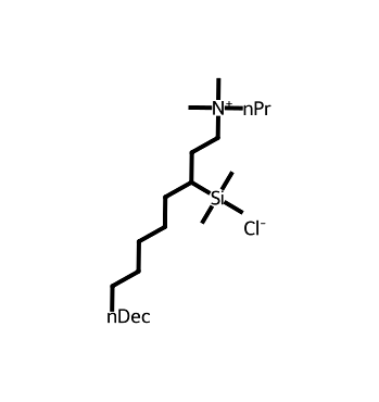 CCCCCCCCCCCCCCCC(CC[N+](C)(C)CCC)[Si](C)(C)C.[Cl-]